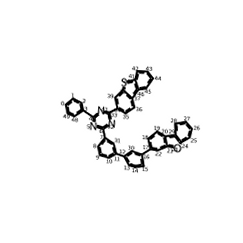 c1ccc(-c2nc(-c3cccc(-c4cccc(-c5ccc6c(c5)oc5ccccc56)c4)c3)nc(-c3ccc4c(c3)sc3ccccc34)n2)cc1